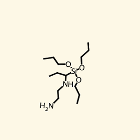 CCCO[Si](OCCC)(OCCC)C(CC)NCCN